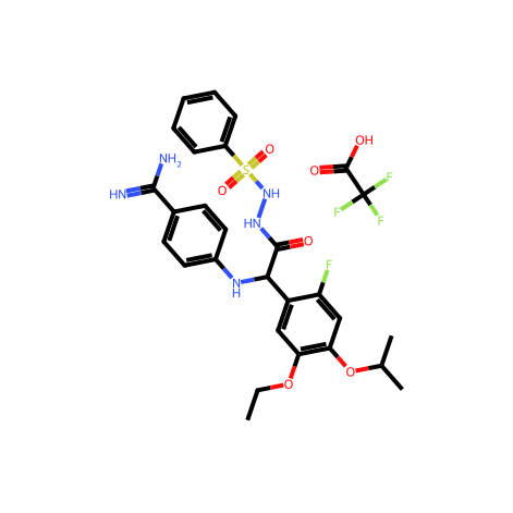 CCOc1cc(C(Nc2ccc(C(=N)N)cc2)C(=O)NNS(=O)(=O)c2ccccc2)c(F)cc1OC(C)C.O=C(O)C(F)(F)F